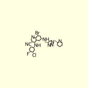 N#Cc1cnc2c(Br)cc(NCc3cn(Cc4ccccn4)nn3)cc2c1Nc1ccc(F)c(Cl)c1